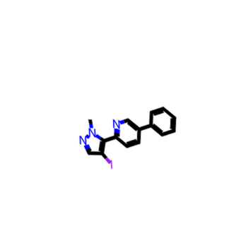 Cn1ncc(I)c1-c1ccc(-c2ccccc2)cn1